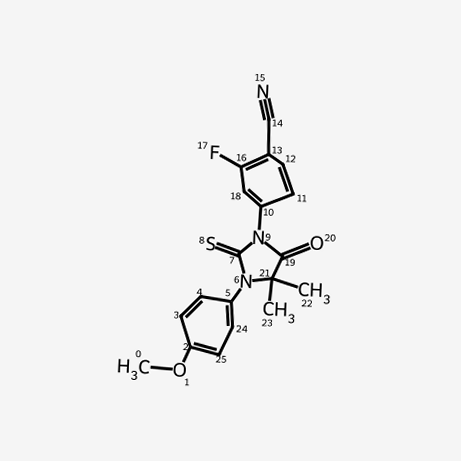 COc1ccc(N2C(=S)N(c3ccc(C#N)c(F)c3)C(=O)C2(C)C)cc1